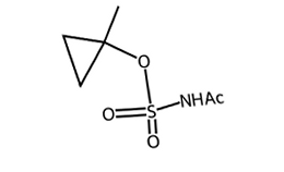 CC(=O)NS(=O)(=O)OC1(C)CC1